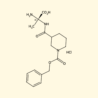 C[C@](N)(NC(=O)C1CCCN(C(=O)OCc2ccccc2)C1)C(=O)O.Cl